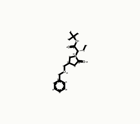 CC[C@@H](C(=O)OC(C)(C)C)N1CC(COCc2ccccc2)CC1=O